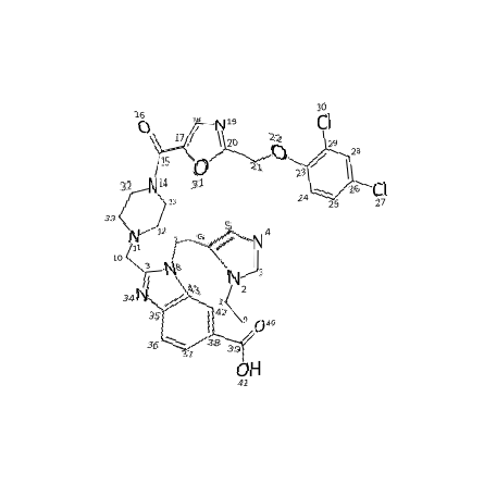 CCn1cncc1Cn1c(CN2CCN(C(=O)c3cnc(COc4ccc(Cl)cc4Cl)o3)CC2)nc2ccc(C(=O)O)cc21